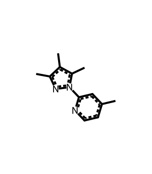 Cc1ccnc(-n2nc(C)c(C)c2C)c1